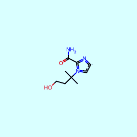 CC(C)(CCO)n1c[c]nc1C(N)=O